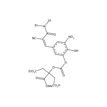 CCOC(=O)CC(CC(=O)O)(OC(=O)Oc1cc(C=C(C#N)C(=O)N(CC)CC)cc([N+](=O)[O-])c1O)C(=O)OC